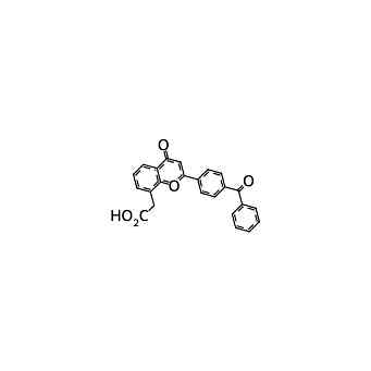 O=C(O)Cc1cccc2c(=O)cc(-c3ccc(C(=O)c4ccccc4)cc3)oc12